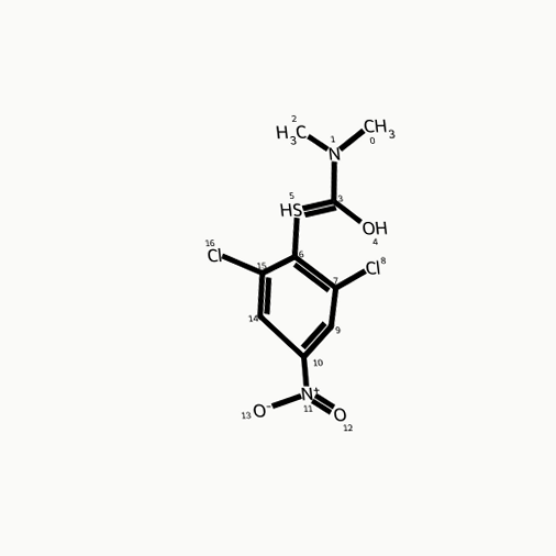 CN(C)C(O)=[SH]c1c(Cl)cc([N+](=O)[O-])cc1Cl